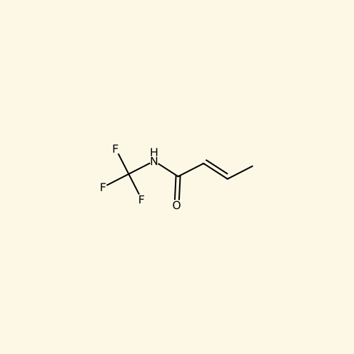 CC=CC(=O)NC(F)(F)F